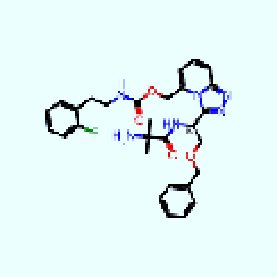 CC(C)(N)C(=O)N[C@H](COCc1ccccc1)c1nnc2cccc(COC(=O)NCCc3ccccc3F)n12